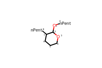 CCCCCOC1OCCCC1CCCCC